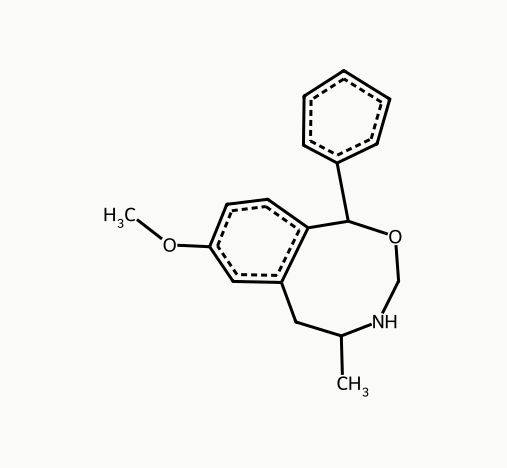 COc1ccc2c(c1)CC(C)NCOC2c1ccccc1